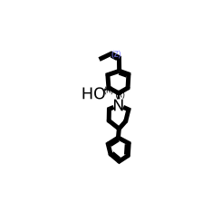 C/C=C\C1=CC[C@@H](N2CCC(c3ccccc3)CC2)[C@H](O)C1